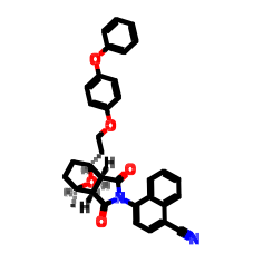 C[C@]12CC[C@](CCOc3ccc(Oc4ccccc4)cc3)(O1)[C@@H]1C(=O)N(c3ccc(C#N)c4ccccc34)C(=O)[C@@H]12